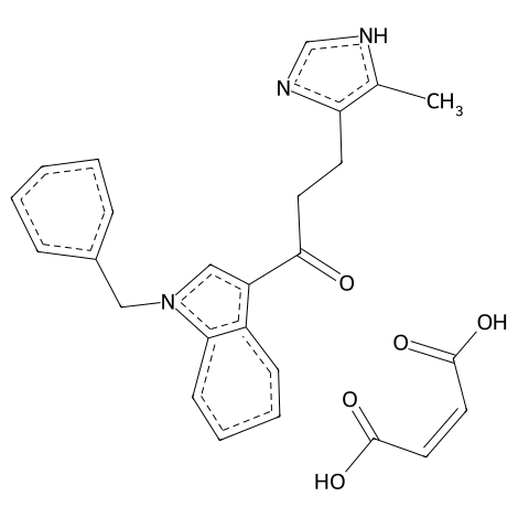 Cc1[nH]cnc1CCC(=O)c1cn(Cc2ccccc2)c2ccccc12.O=C(O)/C=C\C(=O)O